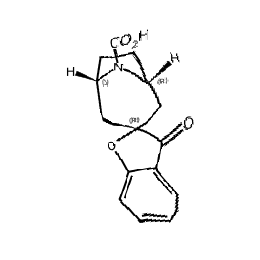 O=C(O)N1[C@@H]2CC[C@H]1C[C@]1(C2)Oc2ccccc2C1=O